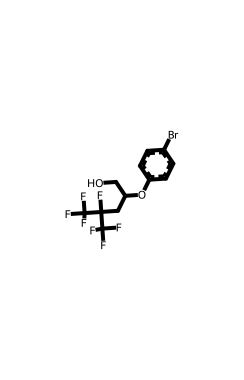 OCC(CC(F)(C(F)(F)F)C(F)(F)F)Oc1ccc(Br)cc1